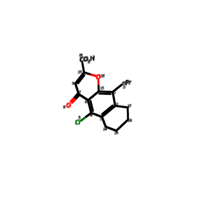 CCCc1c2c(c(Cl)c3c(=O)cc(C(=O)O)oc13)CCCC2